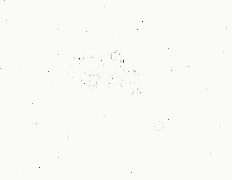 COCCOCCC(=O)N(CCCCCCc1ccccc1)CC(=O)N[C@@H](CC(C)C)C(=O)N[C@@H](Cc1cnc[nH]1)C(=O)N[C@@H](CO)C(=O)N[C@H](C(N)=O)[C@@H](C)CP(=O)(O)O